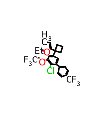 CC=C(OCC)C1(c2cc(OCC(F)(F)F)c(Cl)c(-c3ccc(C(F)(F)F)cc3)c2)CCC1